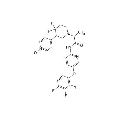 CC(C(=O)Nc1ccc(Oc2ccc(F)c(F)c2F)cn1)N1CCC(F)(F)C(c2cc[n+]([O-])cc2)C1